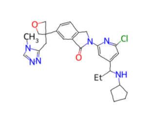 CCC(NC1CCCC1)c1cc(Cl)nc(N2Cc3ccc(C4(Cc5nncn5C)COC4)cc3C2=O)c1